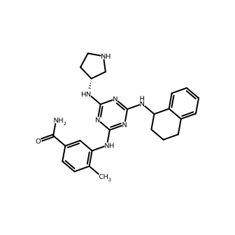 Cc1ccc(C(N)=O)cc1Nc1nc(NC2CCCc3ccccc32)nc(N[C@@H]2CCNC2)n1